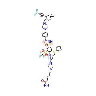 CNC(=O)CCCCCN1CCN(CC[C@H](CSc2ccccc2)Nc2ccc(S(=O)(=O)NC(=O)c3ccc(N4CCN(CC5=C(C67CC(C(F)F)(C6)C7)CC(C)(C)CC5)CC4)cc3)cc2S(=O)(=O)C(F)(F)F)CC1